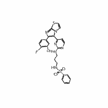 O=S(=O)(NCCCNc1nccc(-c2c(-c3ccc(F)c(O)c3)nc3sccn23)n1)c1ccccc1